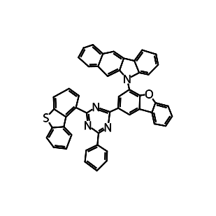 c1ccc(-c2nc(-c3cc(-n4c5ccccc5c5cc6ccccc6cc54)c4oc5ccccc5c4c3)nc(-c3cccc4sc5ccccc5c34)n2)cc1